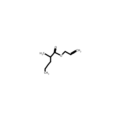 C=CCOC(=O)C(C)CCC